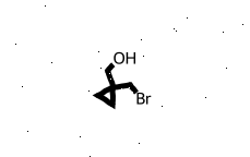 OCC1(CBr)CC1